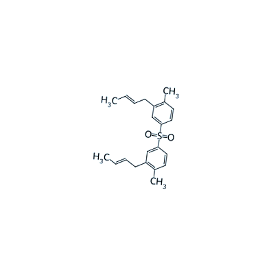 CC=CCc1cc(S(=O)(=O)c2ccc(C)c(CC=CC)c2)ccc1C